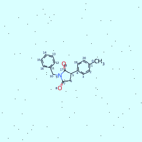 Cc1ccc(C2CC(=O)N(Cc3ccccc3)C2=O)cc1